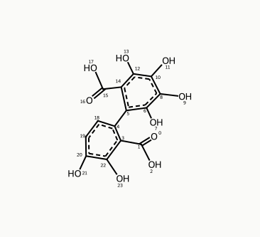 O=C(O)c1c(-c2c(O)c(O)c(O)c(O)c2C(=O)O)ccc(O)c1O